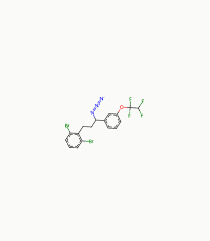 [N-]=[N+]=NC(CCc1c(Br)cccc1Br)c1cccc(OC(F)(F)C(F)F)c1